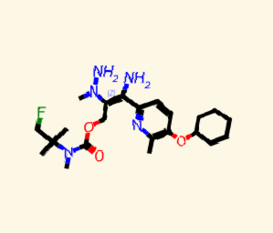 Cc1nc(/C(N)=C(\COC(=O)N(C)C(C)(C)CF)N(C)N)ccc1OC1CCCCC1